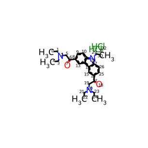 CCN(CC)CC(=O)c1ccc2c(c1)c1cc(C(=O)CN(CC)CC)ccc1n2CC.Cl.Cl